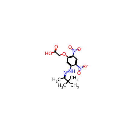 CC(=NNc1cc(OCC(=O)O)c([N+](=O)[O-])cc1[N+](=O)[O-])C(C)(C)C